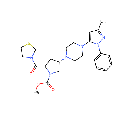 CC(C)(C)OC(=O)N1C[C@@H](N2CCN(c3cc(C(F)(F)F)nn3-c3ccccc3)CC2)C[C@H]1C(=O)N1CCSC1